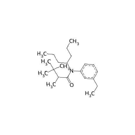 CCCC(CCC)N(C(=O)C(C)C(C)(C)C)c1cccc(CC)c1